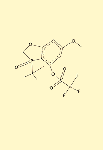 COc1cc2c(c(OS(=O)(=O)C(F)(F)F)c1)P(=O)(C(C)(C)C)CO2